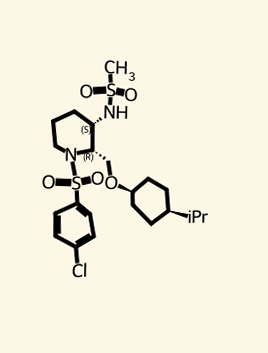 CC(C)[C@H]1CC[C@@H](OC[C@H]2[C@@H](NS(C)(=O)=O)CCCN2S(=O)(=O)c2ccc(Cl)cc2)CC1